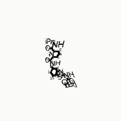 CC(C)NC(=O)c1cccc(C(=O)NCc2ccc3sc(NC(=O)OC(C)(C)C)nc3c2)n1